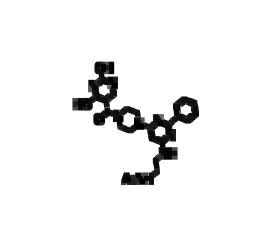 CC(=O)NCCNc1cc(N2CCN(C(=O)c3cnc(O)nc3O)CC2)nc(-c2ccccc2)n1